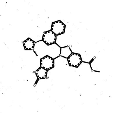 COC(=O)c1ccc2c(c1)NC(c1cc(-c3cncn3C)nc3ccccc13)N2c1ccc2[nH]c(=O)[nH]c2c1